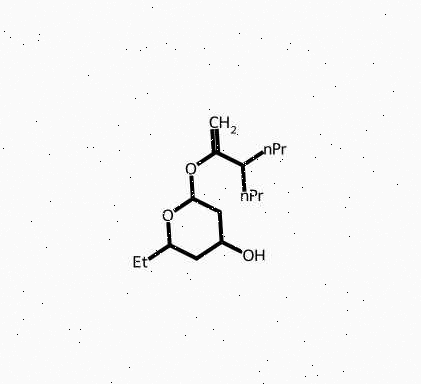 C=C(OC1CC(O)CC(CC)O1)C(CCC)CCC